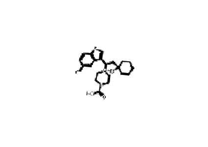 O=C(O)N1CCN(C(CC2(O)CCCCC2)c2csc3ccc(Cl)cc23)CC1